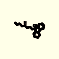 C/C=C/CNCCCC1(O)c2ccccc2-c2ccccc21